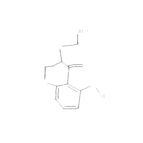 CCCCCCCCCCOC1COc2cccc(OO)c2C1=O